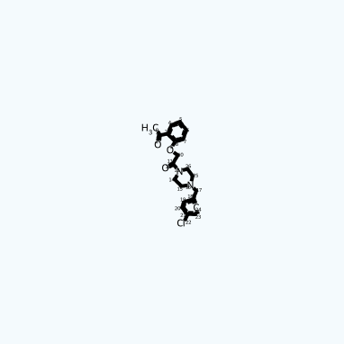 CC(=O)c1ccccc1OCC(=O)N1CCN(Cc2ccc(Cl)cc2)CC1